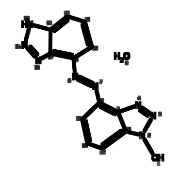 O.On1nnc2c(N=Nc3cccc4[nH]nnc34)cccc21